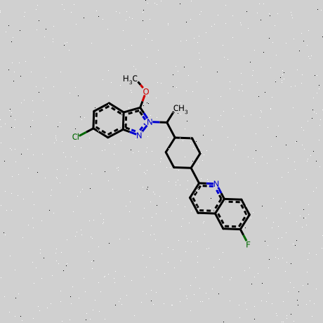 COc1c2ccc(Cl)cc2nn1C(C)C1CCC(c2ccc3cc(F)ccc3n2)CC1